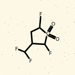 O=S1(=O)C(F)CC(C(F)F)C1F